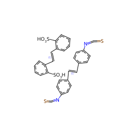 O=S(=O)(O)c1ccccc1/C=C/c1ccccc1S(=O)(=O)O.S=C=Nc1ccc(/C=C/c2ccc(N=C=S)cc2)cc1